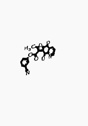 Cc1oc2c(c1C(=O)Oc1cccc(C#N)c1)C(=O)c1ncccc1C2=O